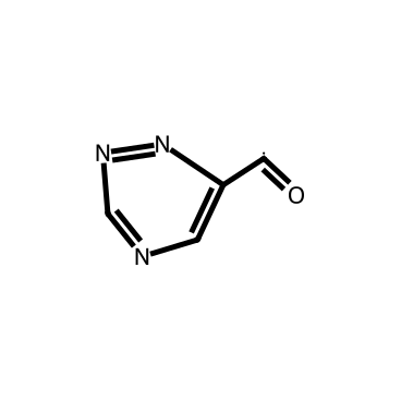 O=[C]c1cncnn1